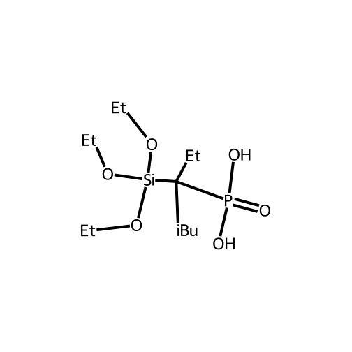 CCO[Si](OCC)(OCC)C(CC)(C(C)CC)P(=O)(O)O